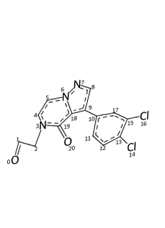 O=CCn1ccn2ncc(-c3ccc(Cl)c(Cl)c3)c2c1=O